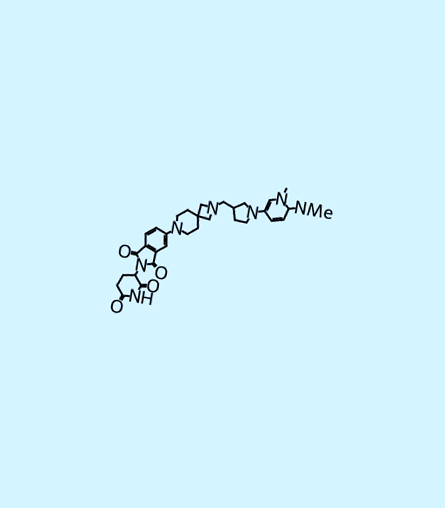 CNC1C=CC(N2CCC(CN3CC4(CCN(c5ccc6c(c5)C(=O)N(C5CCC(=O)NC5=O)C6=O)CC4)C3)C2)=CN1C